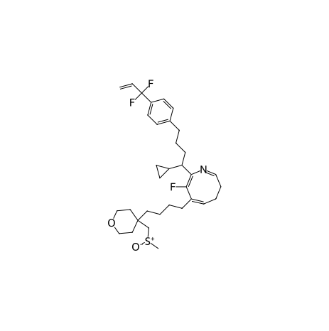 C=CC(F)(F)c1ccc(CCCC(C2=C(F)/C(CCCCC3(C[S+](C)[O-])CCOCC3)=C\CC/C=N\2)C2CC2)cc1